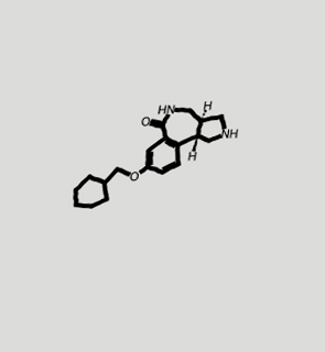 O=C1NC[C@H]2CNC[C@@H]2c2ccc(OCC3CCCCC3)cc21